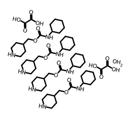 O.O=C(NC1CCCCC1)OCC1CCNCC1.O=C(NC1CCCCC1)OCC1CCNCC1.O=C(NC1CCCCC1)OCC1CCNCC1.O=C(NC1CCCCC1)OCC1CCNCC1.O=C(O)C(=O)O.O=C(O)C(=O)O